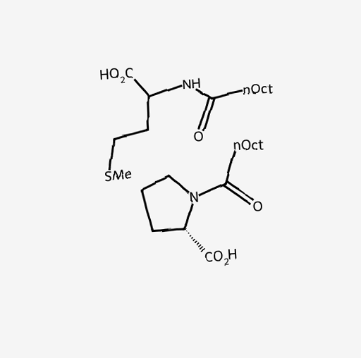 CCCCCCCCC(=O)N1CCC[C@H]1C(=O)O.CCCCCCCCC(=O)NC(CCSC)C(=O)O